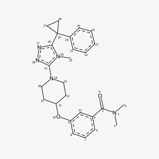 CN(C)C(=O)c1cccc(OC2CCN(c3nnc(C4(c5ccccc5)CC4)n3C)CC2)c1